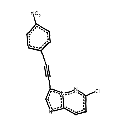 O=[N+]([O-])c1ccc(C#Cc2cnc3ccc(Cl)nn23)cc1